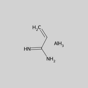 C=CC(=N)N.[AlH3]